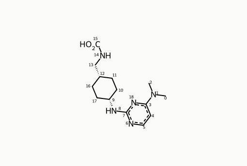 CN(C)c1ccnc(N[C@H]2CC[C@@H](CNC(=O)O)CC2)n1